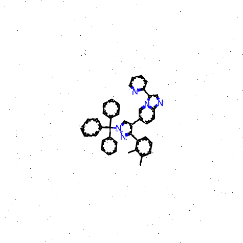 Cc1[c]ccc(-c2nn(C(c3ccccc3)(c3ccccc3)c3ccccc3)cc2-c2ccc3ncc(-c4ccccn4)n3c2)c1C